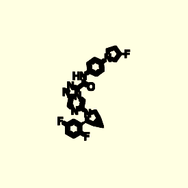 O=C(Nc1ccc(N2CC[C@H](F)C2)cc1)c1nnc2cnc(N3CC4CC4[C@@H]3c3cc(F)ccc3F)cn12